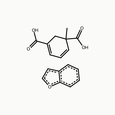 CC1(C(=O)O)C=CC=C(C(=O)O)C1.c1ccc2occc2c1